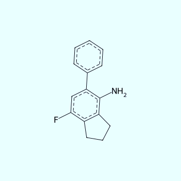 Nc1c(-c2ccccc2)cc(F)c2c1CCC2